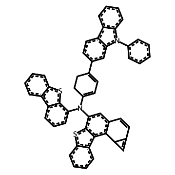 C1=Cc2cc(N(C3=CC=C(c4ccc5c6ccccc6n(-c6ccccc6)c5c4)CC3)c3cccc4c3sc3ccccc34)c3sc4ccccc4c3c2C2C=C12